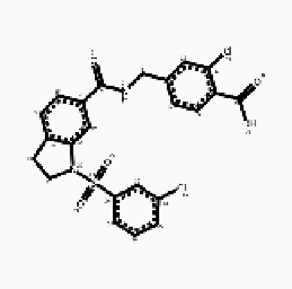 O=C(NCc1ccc(C(=O)O)c(Cl)c1)c1ccc2c(c1)N(S(=O)(=O)c1cccc(Cl)c1)CC2